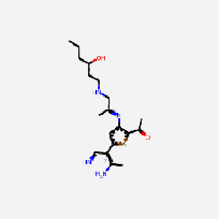 CCCC(O)CCNC/C(C)=N/c1cc(/C(C=N)=C(\C)N)sc1C(C)=O